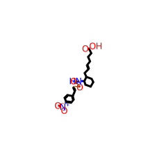 O=C(O)CCCC=CCC1CCCCC1NS(=O)(=O)C=Cc1ccc([N+](=O)[O-])cc1